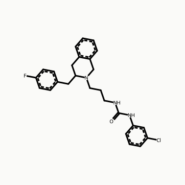 O=C(NCCCN1Cc2ccccc2CC1Cc1ccc(F)cc1)Nc1cccc(Cl)c1